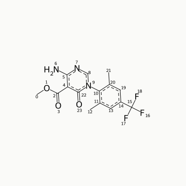 COC(=O)c1c(N)ncn(-c2c(C)cc(C(F)(F)F)cc2C)c1=O